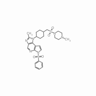 Cc1nc2cnc3c(ccn3S(=O)(=O)c3ccccc3)c2n1C1CCC(CS(=O)(=O)N2CCN(C)CC2)CC1